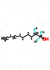 CCCCCCC[C@@H](F)C(O)(F)F